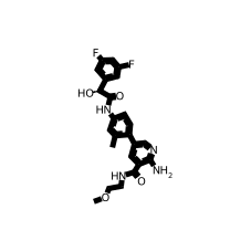 COCCNC(=O)c1cc(-c2ccc(NC(=O)[C@H](O)c3cc(F)cc(F)c3)cc2C)cnc1N